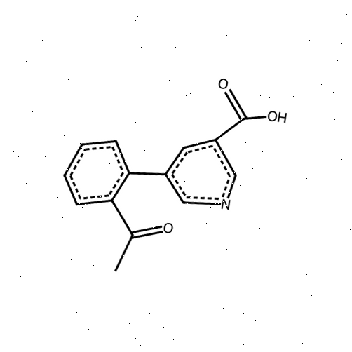 CC(=O)c1ccccc1-c1cncc(C(=O)O)c1